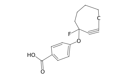 O=C(O)c1ccc(OC2(F)C#CCCCCC2)cc1